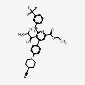 CCOC(=O)c1cc(-c2ccc(N3CCC(C#N)CC3)cc2)c(C(=N)C(C)C)c(Nc2cccc(C(F)(F)F)c2)n1